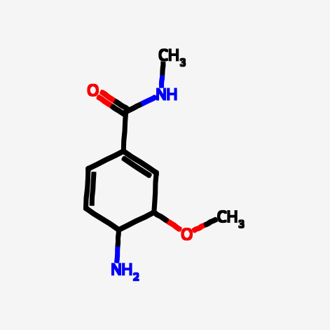 CNC(=O)C1=CC(OC)C(N)C=C1